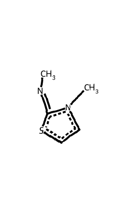 CN=c1sccn1C